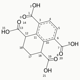 O=C(O)c1ccc(C(=O)O)c2c1C(C(=O)O)CCC2C(=O)O